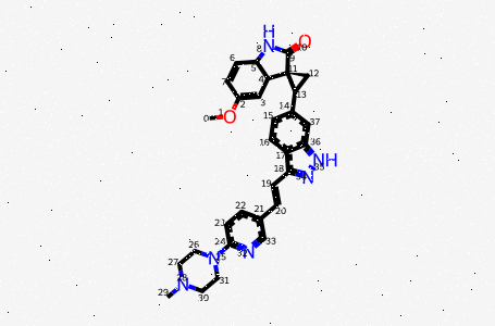 COC1=CC2C(C=C1)NC(=O)[C@@]21CC1c1ccc2c(/C=C/c3ccc(N4CCN(C)CC4)nc3)n[nH]c2c1